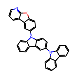 c1cnc2oc3ccc(-n4c5ccccc5c5cc(-n6c7ccccc7c7ccccc76)ccc54)cc3c2c1